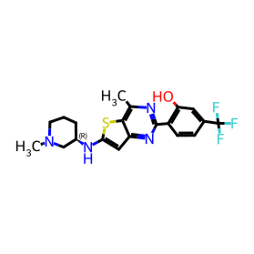 Cc1nc(-c2ccc(C(F)(F)F)cc2O)nc2cc(N[C@@H]3CCCN(C)C3)sc12